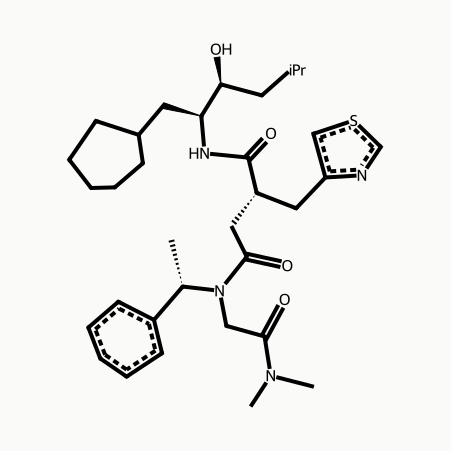 CC(C)C[C@H](O)[C@H](CC1CCCCC1)NC(=O)[C@@H](CC(=O)N(CC(=O)N(C)C)[C@@H](C)c1ccccc1)Cc1cscn1